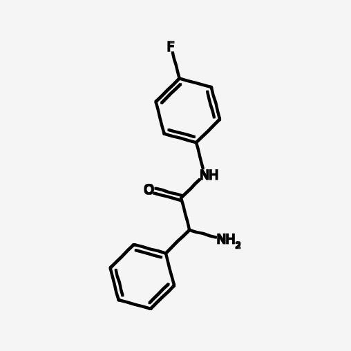 NC(C(=O)Nc1ccc(F)cc1)c1ccccc1